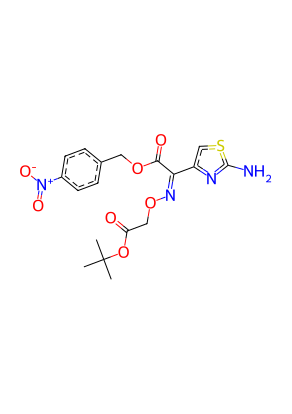 CC(C)(C)OC(=O)CON=C(C(=O)OCc1ccc([N+](=O)[O-])cc1)c1csc(N)n1